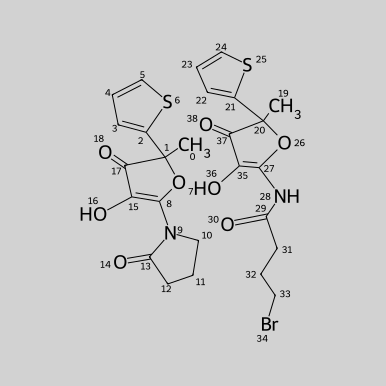 CC1(c2cccs2)OC(N2CCCC2=O)=C(O)C1=O.CC1(c2cccs2)OC(NC(=O)CCCBr)=C(O)C1=O